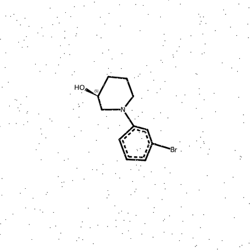 O[C@H]1CCCN(c2cccc(Br)c2)C1